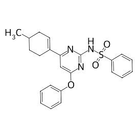 CC1CC=C(c2cc(Oc3ccccc3)nc(NS(=O)(=O)c3ccccc3)n2)CC1